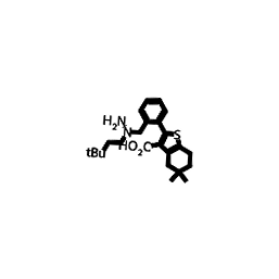 CC(C)(C)CCN(N)Cc1ccccc1-c1sc2c(c1C(=O)O)CC(C)(C)CC2